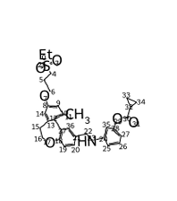 CCS(=O)(=O)CCCOc1cc(C)c2c(c1)CCOc1ccc(CNc3cccc(OC(=O)C4CC4)c3)cc1-2